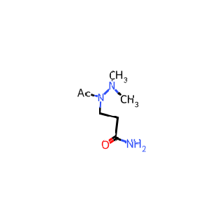 CC(=O)N(CCC(N)=O)N(C)C